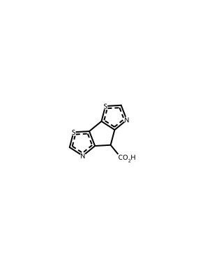 O=C(O)C1c2ncsc2-c2scnc21